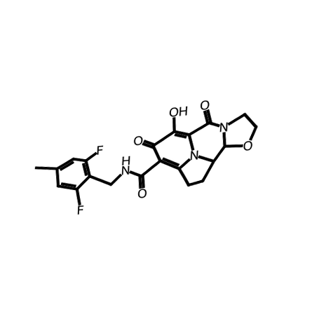 Cc1cc(F)c(CNC(=O)c2c3n4c(c(O)c2=O)C(=O)N2CCOC2C4CC3)c(F)c1